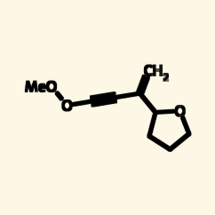 C=C(C#COOC)C1CCCO1